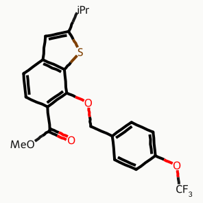 COC(=O)c1ccc2cc(C(C)C)sc2c1OCc1ccc(OC(F)(F)F)cc1